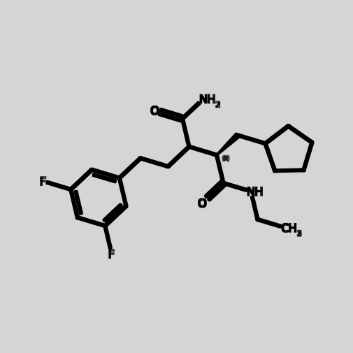 CCNC(=O)[C@H](CC1CCCC1)C(CCc1cc(F)cc(F)c1)C(N)=O